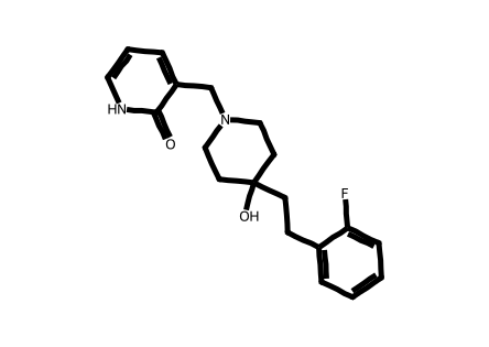 O=c1[nH]cccc1CN1CCC(O)(CCc2ccccc2F)CC1